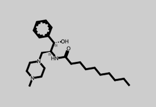 CCCCCCCCCC(=O)N[C@@H](CN1CCN(C)CC1)[C@@H](O)c1ccccc1